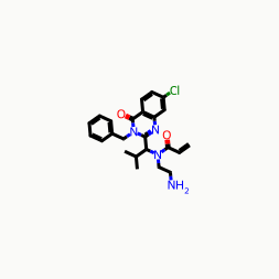 C=CC(=O)N(CCN)C(c1nc2cc(Cl)ccc2c(=O)n1Cc1ccccc1)C(C)C